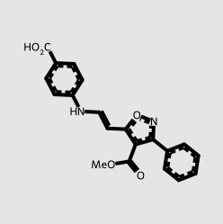 COC(=O)c1c(-c2ccccc2)noc1C=CNc1ccc(C(=O)O)cc1